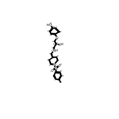 Cc1ccc(S(=O)(=O)N2CCC(CNC[C@H](O)COc3ccc(O)cc3)CC2)cc1